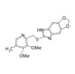 COc1c(C)cnc(CSc2nc3cc4c(cc3[nH]2)OCO4)c1OC